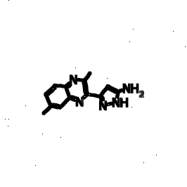 Cc1ccc2nc(C)c(-c3cc(N)[nH]n3)nc2c1